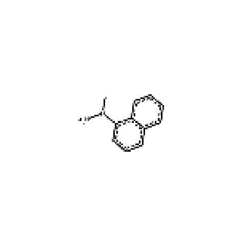 NN(I)c1cccc2ccccc12